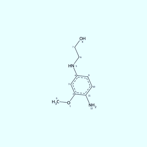 COc1cc(NCCO)ccc1N